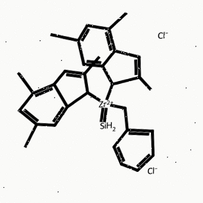 CC1=Cc2c(C)cc(C)cc2[CH]1[Zr+2](=[SiH2])([CH2]c1ccccc1)[CH]1C(C)=Cc2c(C)cc(C)cc21.[Cl-].[Cl-]